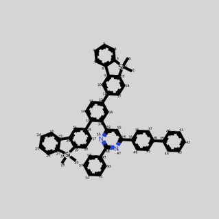 C[Si]1(C)c2ccccc2-c2cc(-c3ccc(-c4ccc5c(c4)-c4ccccc4[Si]5(C)C)c(-c4cc(-c5ccc(-c6ccccc6)cc5)nc(-c5ccccc5)n4)c3)ccc21